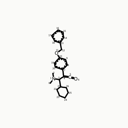 CN(C)C(C(=C=O)c1ccc(OCc2ccccc2)cc1)C1CCCCC1